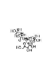 O=P(O)(O)O.O=P(O)(O)O.O=P(O)(O)O.OC[C@H]1OC(O)[C@H](O)[C@@H](O)[C@@H]1O